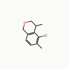 Cc1ccc2c(c1Cl)C(C)COC2